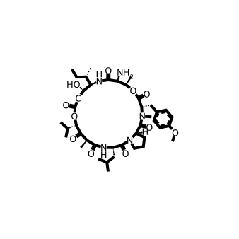 CC[C@H](C)[C@H]1NC(=O)[C@@H](N)[C@@H](C)OC(=O)[C@H](Cc2ccc(OC)cc2)N(C)C(=O)[C@@H]2CCCN2C(=O)[C@H](CC(C)C)NC(=O)[C@@H](C)C(=O)[C@H](C(C)C)OC(=O)C[C@@H]1O